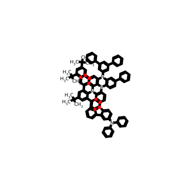 CC(C)(C)c1cc(-c2cc3c4c(c2)N(c2c(-c5ccccc5)cc(C(C)(C)C)cc2-c2ccccc2)c2cc(-n5c6ccccc6c6cc(N(c7ccccc7)c7ccccc7)ccc65)ccc2B4c2ccc(-c4ccccc4)cc2N3c2cc(-c3ccccc3)cc(-c3ccccc3)c2)cc(C(C)(C)C)c1